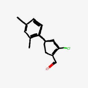 Cc1ccc(C2CC(Cl)=C(C=O)C2)c(C)c1